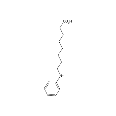 CN(CCCCCCCC(=O)O)c1ccccc1